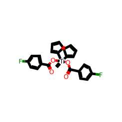 [CH2]=[Ti]([O]C(=O)c1ccc(F)cc1)([O]C(=O)c1ccc(F)cc1)([C]1=CC=CC1)[C]1=CC=CC1